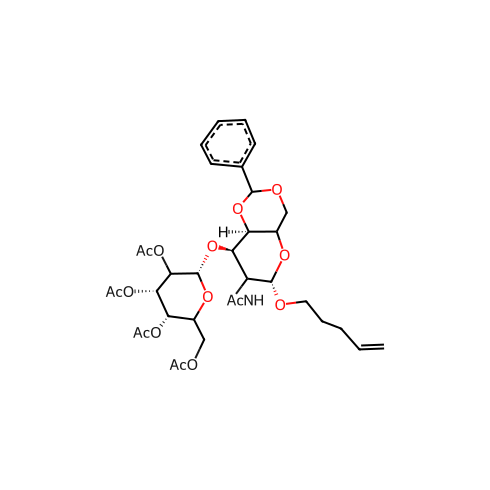 C=CCCCO[C@H]1OC2COC(c3ccccc3)O[C@@H]2[C@H](O[C@@H]2OC(COC(C)=O)[C@H](OC(C)=O)[C@H](OC(C)=O)C2OC(C)=O)C1NC(C)=O